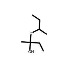 CCC(C)OC(C)(O)CC